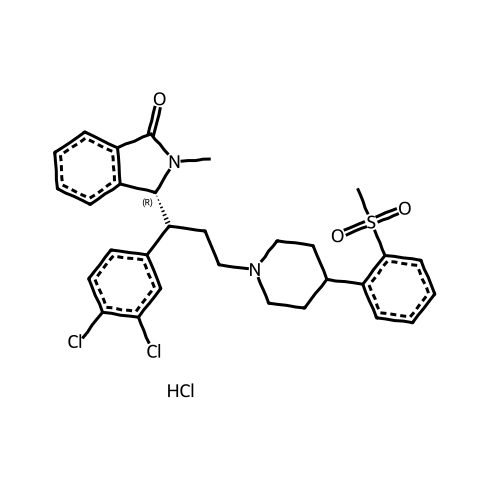 CN1C(=O)c2ccccc2[C@H]1C(CCN1CCC(c2ccccc2S(C)(=O)=O)CC1)c1ccc(Cl)c(Cl)c1.Cl